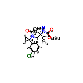 COC(=O)N(CC(C)(C)NC(=O)OC(C)(C)C)C1(c2cccc(Cl)c2)CC1